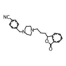 N#Cc1ccc(CN2CCN(CCCC3OC(=O)c4ccccc43)CC2)cc1